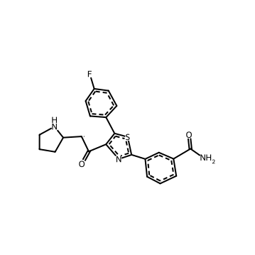 NC(=O)c1cccc(-c2nc(C(=O)[CH]C3CCCN3)c(-c3ccc(F)cc3)s2)c1